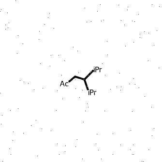 CC(=O)CC(C(C)C)C(C)C